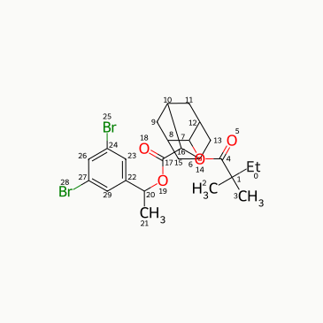 CCC(C)(C)C(=O)OC1C2CC3CC1CC(C2)C3C(=O)OC(C)c1cc(Br)cc(Br)c1